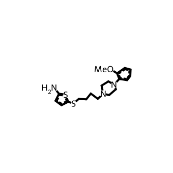 COc1ccccc1N1CCN(CCCCSc2ccc(N)s2)CC1